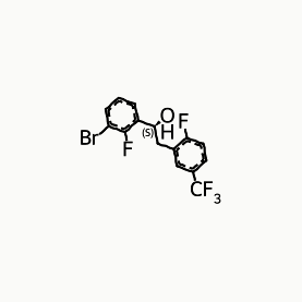 O[C@@H](Cc1cc(C(F)(F)F)ccc1F)c1cccc(Br)c1F